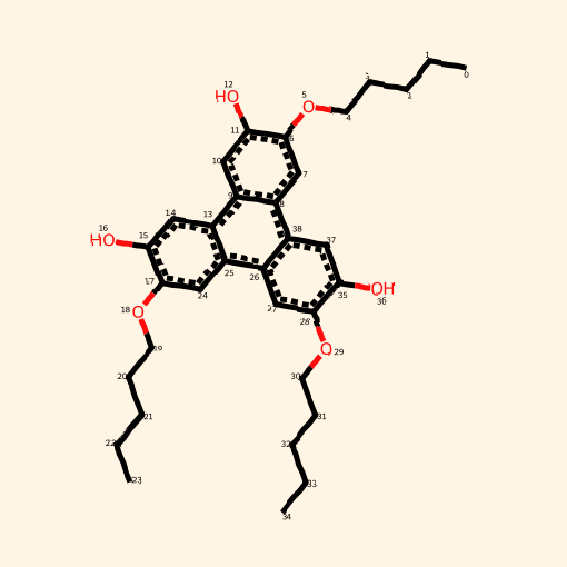 CCCCCOc1cc2c(cc1O)c1cc(O)c(OCCCCC)cc1c1cc(OCCCCC)c(O)cc21